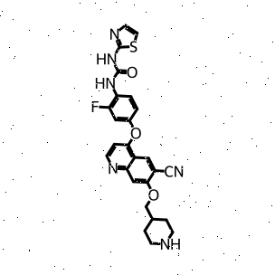 N#Cc1cc2c(Oc3ccc(NC(=O)Nc4nccs4)c(F)c3)ccnc2cc1OCC1CCNCC1